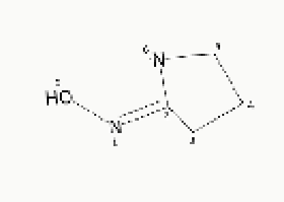 ON=C1CCC[N]1